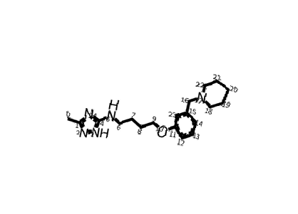 Cc1n[nH]c(NCCCCOc2cccc(CN3CCCCC3)c2)n1